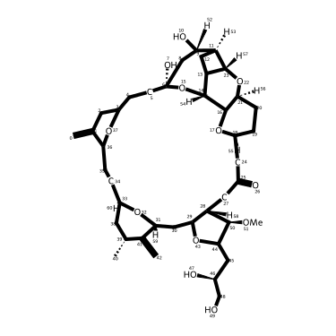 C=C1CC2CC[C@@]3(O)C[C@H](O)[C@@H]4CC5[C@@H](O3)C3O[C@H](CC[C@@H]3O[C@H]54)CC(=O)C[C@H]3C(C[C@H]4O[C@@H](CCC1O2)C[C@@H](C)C4=C)OC(C[C@H](O)CO)[C@@H]3OC